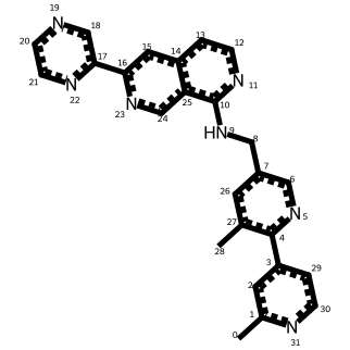 Cc1cc(-c2ncc(CNc3nccc4cc(-c5cnccn5)ncc34)cc2C)ccn1